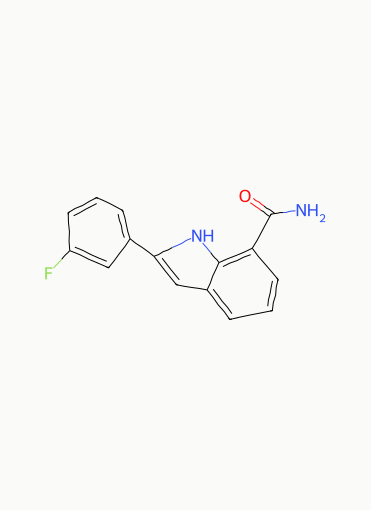 NC(=O)c1cccc2cc(-c3cccc(F)c3)[nH]c12